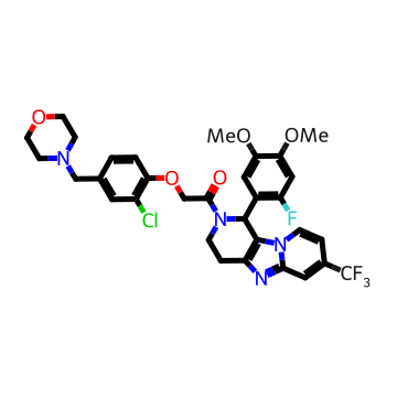 COc1cc(F)c(C2c3c(nc4cc(C(F)(F)F)ccn34)CCN2C(=O)COc2ccc(CN3CCOCC3)cc2Cl)cc1OC